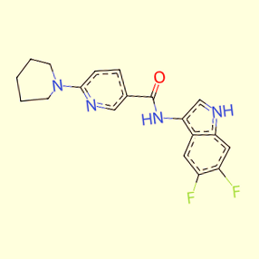 O=C(Nc1c[nH]c2cc(F)c(F)cc12)c1ccc(N2CCCCC2)nc1